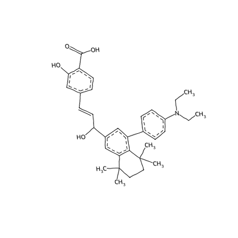 CCN(CC)c1ccc(-c2cc(C(O)C=Cc3ccc(C(=O)O)c(O)c3)cc3c2C(C)(C)CCC3(C)C)cc1